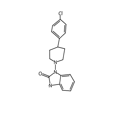 O=C1[N]c2ccccc2N1N1CCC(c2ccc(Cl)cc2)CC1